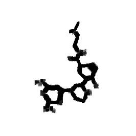 CN(C)CCNC(=O)c1ccc(Br)c(C2CN(c3cc(N)nc(N)n3)CCN2)c1